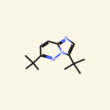 CC(C)(C)c1ccc2ncc(C(C)(C)C)n2n1